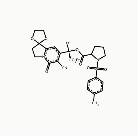 CCOC(=O)[C@@](CC)(OC(=O)C1CCCN1S(=O)(=O)c1ccc(C)cc1)c1cc2n(c(=O)c1C#N)CCC21OCCO1